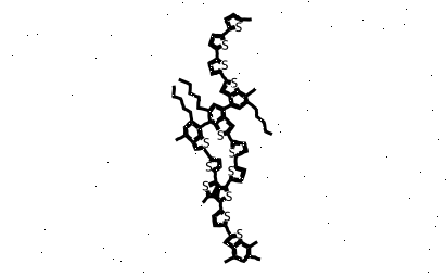 CCCCCc1cc(-c2cc(CCCCC)c(-c3c(CCCCC)cc(C)c4cc(-c5ccc(-c6ccc(C)s6)s5)sc34)c3sc(-c4ccc(-c5ccc(-c6ccc(-c7ccc(-c8cc9c(C)cc(C)c(C)c9s8)s7)s6)s5)s4)cc23)c2cc(-c3ccc(-c4ccc(-c5ccc(C)s5)s4)s3)sc2c1C